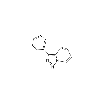 c1ccc(-c2nnn3ccccc23)cc1